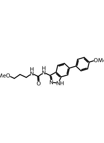 COCCCNC(=O)Nc1n[nH]c2cc(-c3ccc(OC)cc3)ccc12